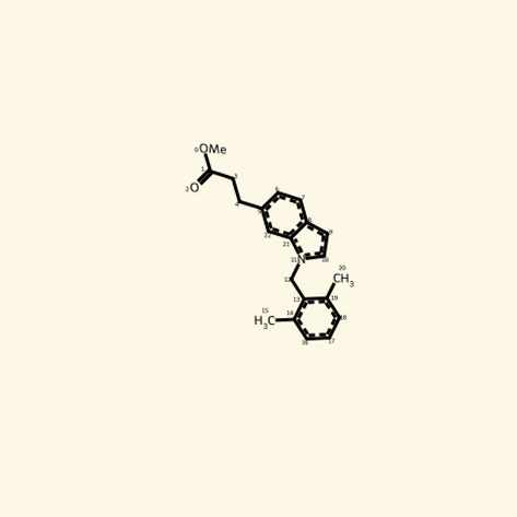 COC(=O)CCc1ccc2ccn(Cc3c(C)cccc3C)c2c1